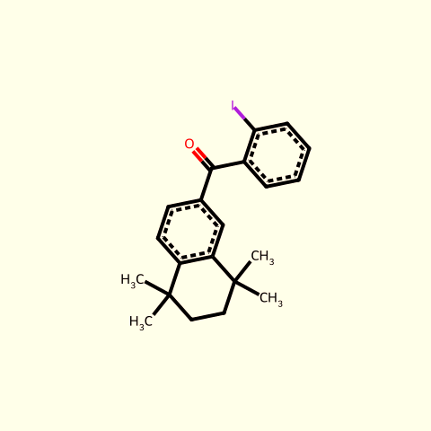 CC1(C)CCC(C)(C)c2cc(C(=O)c3ccccc3I)ccc21